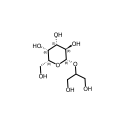 OCC(CO)O[C@@H]1O[C@H](CO)[C@H](O)[C@H](O)[C@H]1O